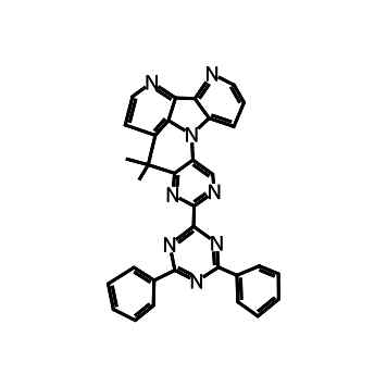 CC1(C)c2nc(-c3nc(-c4ccccc4)nc(-c4ccccc4)n3)ncc2-n2c3cccnc3c3nccc1c32